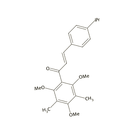 COc1c(C)c(OC)c(C(=O)C=Cc2ccc(C(C)C)cc2)c(OC)c1C